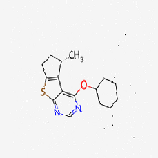 C[C@H]1CCc2sc3ncnc(OC4CCCCC4)c3c21